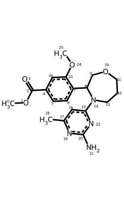 COC(=O)c1ccc(C2COCCCN2c2cc(C)nc(N)n2)c(OC)c1